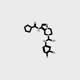 O=C(Nc1cnn2c1CN(C(O)Nc1ccc(F)c(Cl)c1)CC2)C1CCCC1